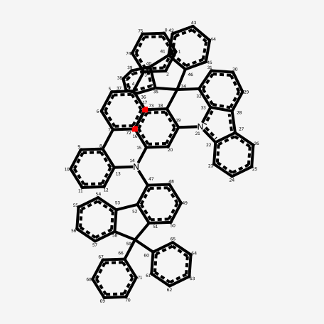 c1ccc(-c2ccc(-c3ccccc3N(c3ccc4c(c3)-n3c5ccccc5c5cccc(c53)C43c4ccccc4-c4ccccc43)c3cccc4c3-c3ccccc3C4(c3ccccc3)c3ccccc3)cc2)cc1